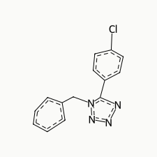 Clc1ccc(-c2nnnn2Cc2ccccc2)cc1